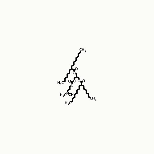 CCCCCCCCCC(CCCCCCC)C(=O)OCC(COC(=O)OCCCN(C)C)COC(=O)C(CCCCCCC)CCCCCCCCC